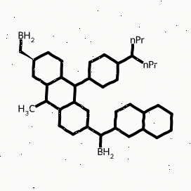 BC[C@H]1CCC2C(C1)C(C)C1CCC(C(B)C3CCC4CCCCC4C3)CC1C2C1CCC(C(CCC)CCC)CC1